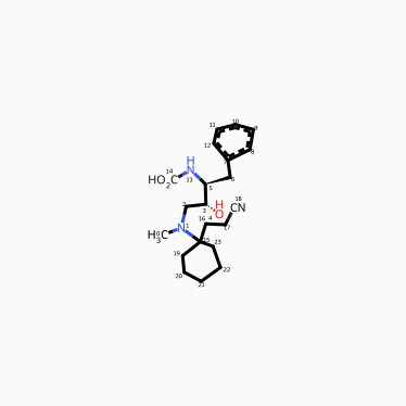 CN(C[C@@H](O)[C@H](Cc1ccccc1)NC(=O)O)C1(CCC#N)CCCCC1